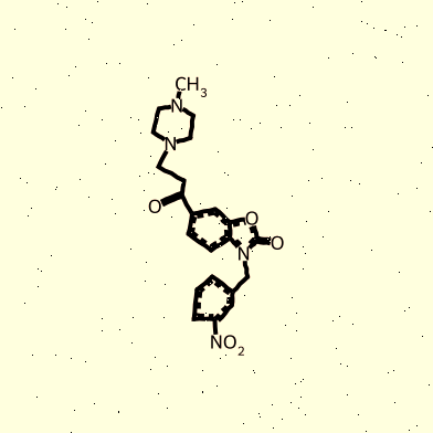 CN1CCN(CCC(=O)c2ccc3c(c2)oc(=O)n3Cc2cccc([N+](=O)[O-])c2)CC1